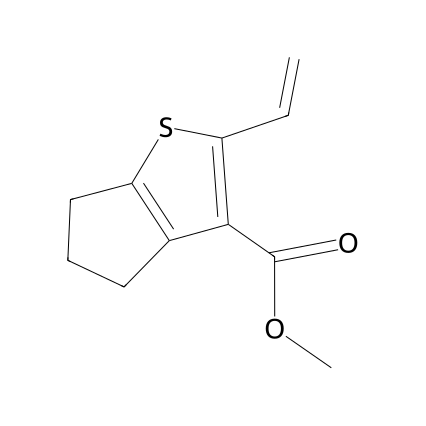 C=Cc1sc2c(c1C(=O)OC)CCC2